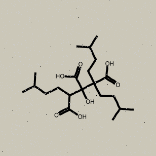 CC(C)CCC(C(=O)O)C(O)(C(=O)O)C(CCC(C)C)(CCC(C)C)C(=O)O